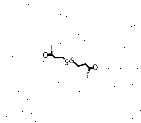 O=C(I)CCSSCCC(=O)I